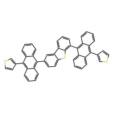 c1ccc2c(-c3ccc4sc5c(-c6c7ccccc7c(-c7ccsc7)c7ccccc67)cccc5c4c3)c3ccccc3c(-c3ccsc3)c2c1